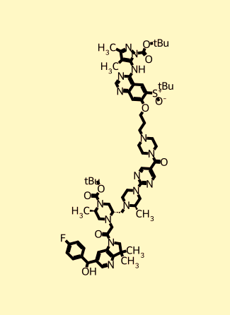 Cc1nn(C(=O)OC(C)(C)C)c(Nc2ncnc3cc(OCCCN4CCN(C(=O)c5cnc(N6CCN(C[C@H]7CN(C(=O)OC(C)(C)C)[C@H](C)CN7CC(=O)N7CC(C)(C)c8ncc(C(O)c9ccc(F)cc9)cc87)[C@H](C)C6)nc5)CC4)c([S+]([O-])C(C)(C)C)cc23)c1C